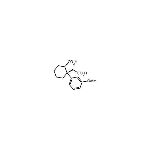 COc1cccc([C@]2(CC(=O)O)CCCC[C@H]2C(=O)O)c1